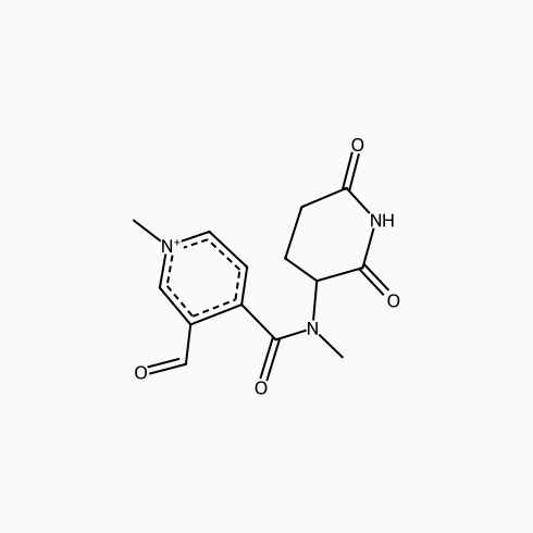 CN(C(=O)c1cc[n+](C)cc1C=O)C1CCC(=O)NC1=O